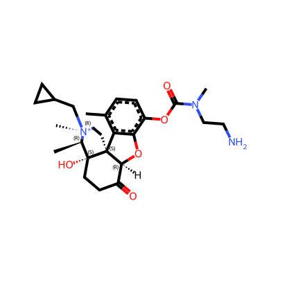 Cc1ccc(OC(=O)N(C)CCN)c2c1[C@]13CC[N@+](C)(CC4CC4)[C@H](C)[C@]1(O)CCC(=O)[C@@H]3O2